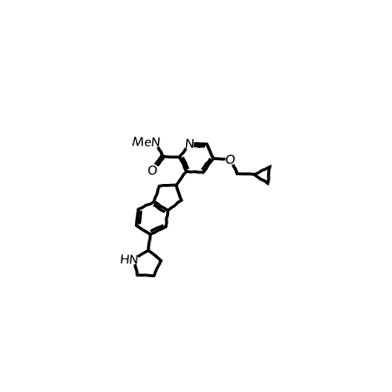 CNC(=O)c1ncc(OCC2CC2)cc1C1Cc2ccc(C3CCCN3)cc2C1